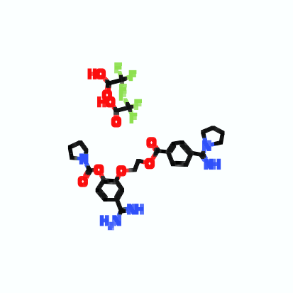 N=C(N)c1ccc(OC(=O)N2CCCC2)c(OCCOC(=O)c2ccc(C(=N)N3CCCC3)cc2)c1.O=C(O)C(F)(F)F.O=C(O)C(F)(F)F